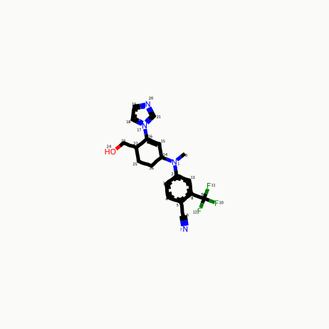 CN(c1ccc(C#N)c(C(F)(F)F)c1)C1C=C(n2ccnc2)C(CO)CC1